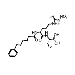 CC(C)C[C@H](NC(=O)[C@H](CCCNC(=N)N[N+](=O)[O-])NC(=O)CCCCCc1ccccc1)B(O)O